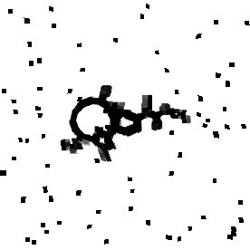 COC(=O)Nc1ccc2c(c1)NC(=O)CCCCC[C@H](N)c1nc-2c[nH]1